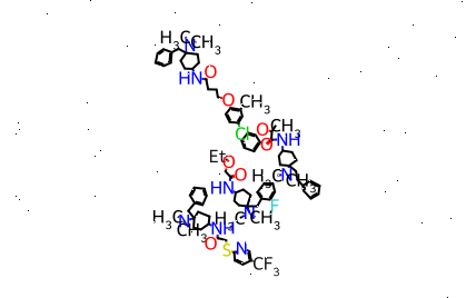 CC(Oc1ccccc1)C(=O)NC1CCC(CCc2ccccc2)(N(C)C)CC1.CCOCC(=O)NC1CCC(Cc2ccccc2F)(N(C)C)CC1.CN(C)C1(Cc2ccccc2)CCC(NC(=O)CSc2ccc(C(F)(F)F)cn2)CC1.Cc1cc(Cl)ccc1OCCCC(=O)NC1CCC(Cc2ccccc2)(N(C)C)CC1